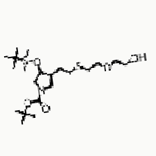 CC(C)(C)OC(=O)N1CC(CCSCCOCCO)C(O[Si](C)(C)C(C)(C)C)C1